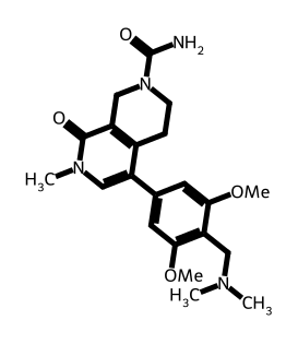 COc1cc(-c2cn(C)c(=O)c3c2CCN(C(N)=O)C3)cc(OC)c1CN(C)C